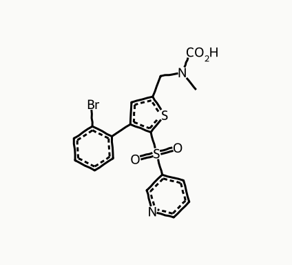 CN(Cc1cc(-c2ccccc2Br)c(S(=O)(=O)c2cccnc2)s1)C(=O)O